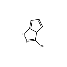 OC1=NOC2=CC=CC21